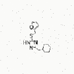 c1coc(CSc2nc(CC3CCCCC3)n[nH]2)c1